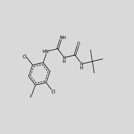 CC(C)(C)NC(=O)NC(=N)Nc1cc(Cl)c(F)cc1Cl